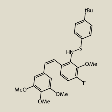 COc1cc(/C=C\c2ccc(F)c(OC)c2NSc2ccc(C(C)(C)C)cc2)cc(OC)c1OC